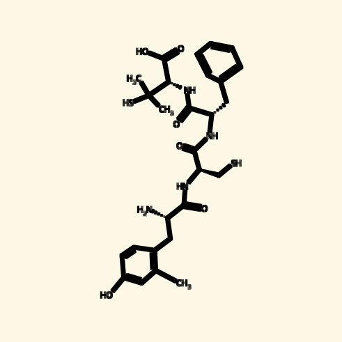 Cc1cc(O)ccc1C[C@H](N)C(=O)N[C@H](CS)C(=O)N[C@@H](Cc1ccccc1)C(=O)N[C@@H](C(=O)O)C(C)(C)S